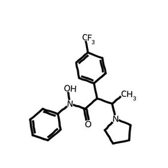 CC(C(C(=O)N(O)c1ccccc1)c1ccc(C(F)(F)F)cc1)N1CCCC1